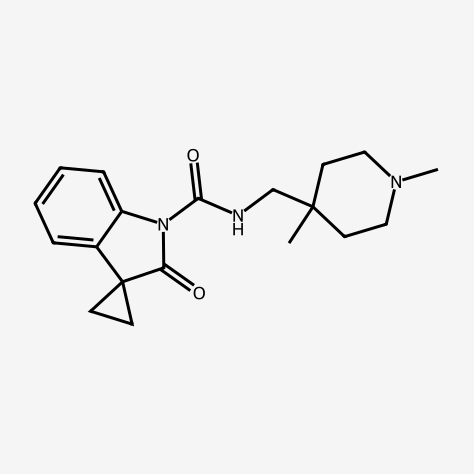 CN1CCC(C)(CNC(=O)N2C(=O)C3(CC3)c3ccccc32)CC1